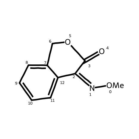 CO/N=C1\C(=O)OCc2ccccc21